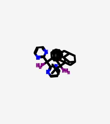 CC(C)(C)C(P)(C12CC3CC(CC(C3)C1)C2)[C]12[CH]3[CH]4[CH]5[C]1(C(P)(c1ncccn1)c1ncccn1)[Fe]45321678[CH]2[CH]1[CH]6[CH]7[CH]28